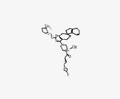 CN1CCC[C@H]1COc1nc2c(c(N3CCN(C(=O)/C=C/CN4CC(F)C4)[C@@H](CC#N)C3)n1)CCC1(CCC3=C1C=CCC3)C2